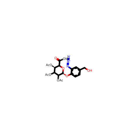 COC(=O)C1O[C@@H](Oc2ccc(CO)cc2N=[N+]=[N-])C(OC(C)=O)C(OC(C)=O)[C@H]1OC(C)=O